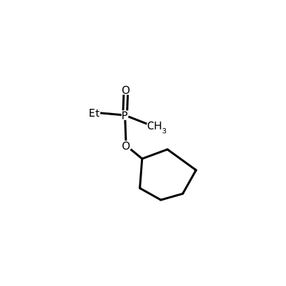 CCP(C)(=O)OC1CCCCC1